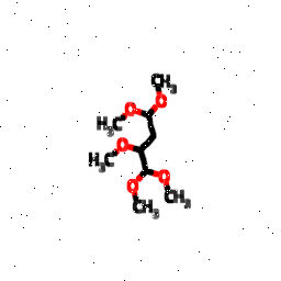 COC(CC(OC)C(OC)OC)OC